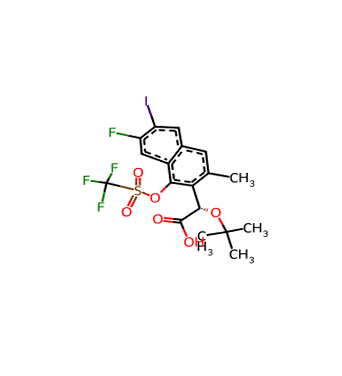 Cc1cc2cc(I)c(F)cc2c(OS(=O)(=O)C(F)(F)F)c1[C@H](OC(C)(C)C)C(=O)O